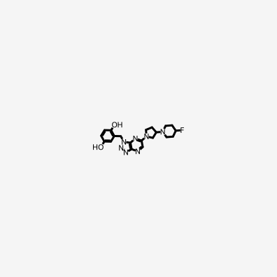 Oc1ccc(O)c(Cn2nnc3ncc(N4CCC(N5CCC(F)CC5)C4)nc32)c1